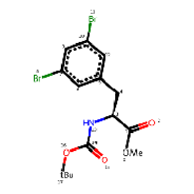 COC(=O)[C@H](Cc1cc(Br)cc(Br)c1)NC(=O)OC(C)(C)C